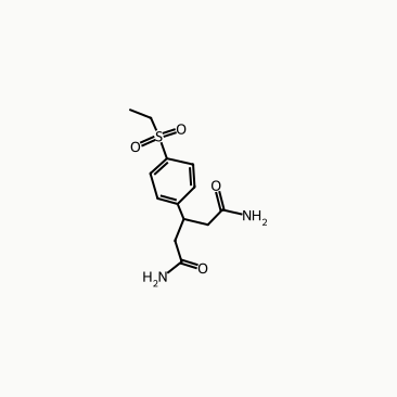 CCS(=O)(=O)c1ccc(C(CC(N)=O)CC(N)=O)cc1